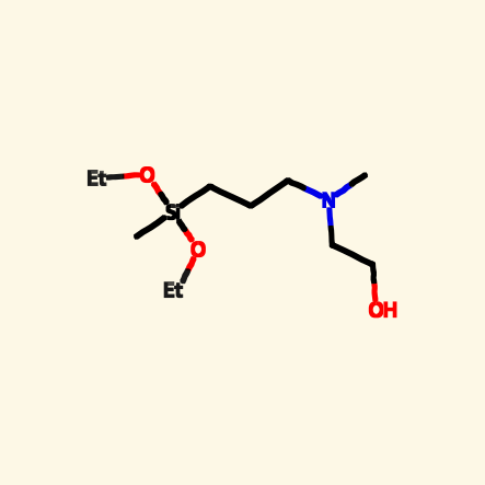 CCO[Si](C)(CCCN(C)CCO)OCC